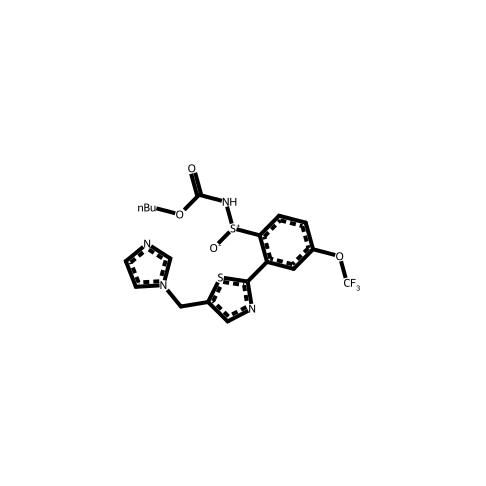 CCCCOC(=O)N[S+]([O-])c1ccc(OC(F)(F)F)cc1-c1ncc(Cn2ccnc2)s1